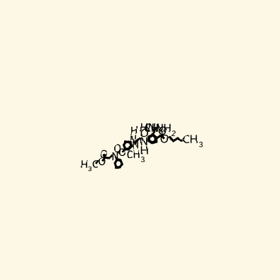 CCCCCOC(=O)c1ccc(NCc2nc3c(C)c(OC(=O)N(CCC(=O)OCC)c4ccccc4)ccc3[nH]2)c(OC)c1C(=N)N